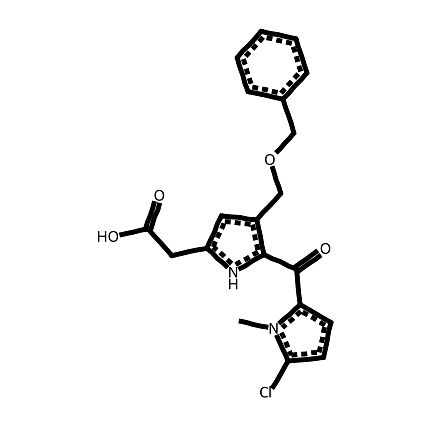 Cn1c(Cl)ccc1C(=O)c1[nH]c(CC(=O)O)cc1COCc1ccccc1